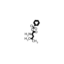 CC(C)C[C@H](N)C(=O)OS(=O)(=O)c1ccccc1